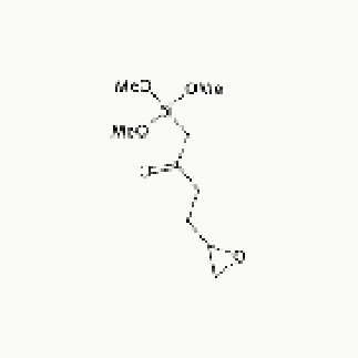 CO[Si](CC(=O)CCC1CO1)(OC)OC